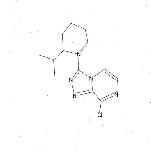 CC(C)C1CCCCN1c1nnc2c(Cl)nccn12